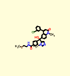 CSCCNC(=O)c1ccc(C(O)(c2ccc3c(c2)c(-c2cccc(Cl)c2)cc(=O)n3C)c2cncn2C)cc1